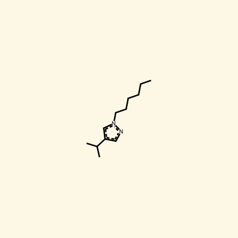 CCCCCCn1cc(C(C)C)cn1